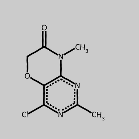 Cc1nc(Cl)c2c(n1)N(C)C(=O)CO2